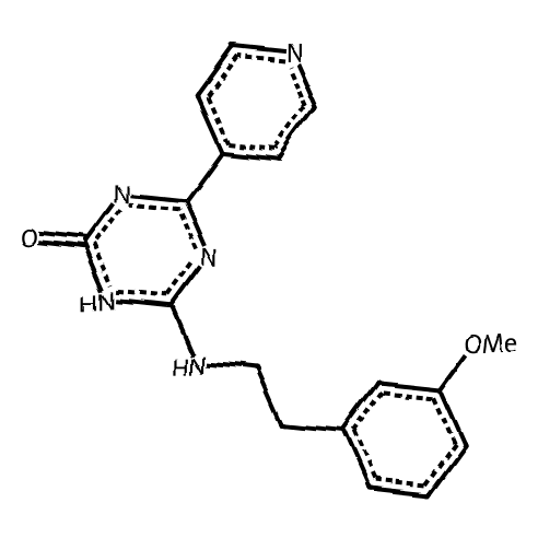 COc1cccc(CCNc2nc(-c3ccncc3)nc(=O)[nH]2)c1